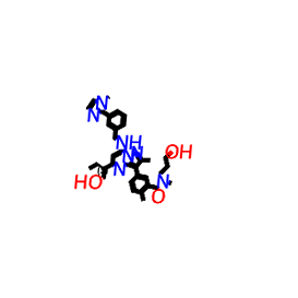 CC[C@H](CO)c1cc(NCc2cccc(-c3nccn3C)c2)n2nc(C)c(-c3ccc(C)c(C(=O)N(C)CCCO)c3)c2n1